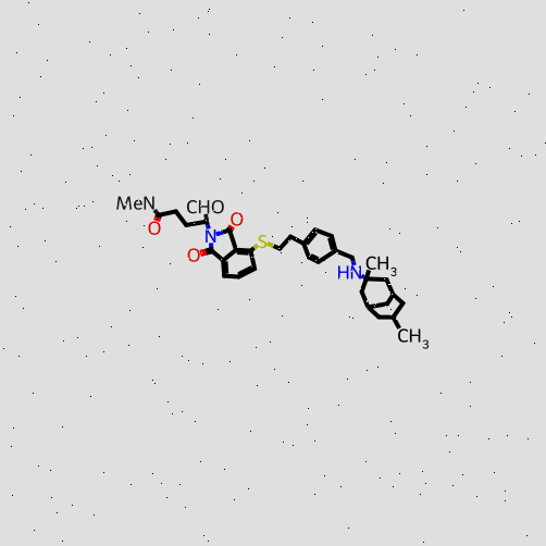 CNC(=O)CCC(C=O)N1C(=O)c2cccc(SCCc3ccc(CNC4(C)CC5CC(C)CC(C5)C4)cc3)c2C1=O